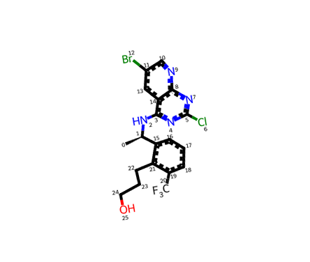 C[C@@H](Nc1nc(Cl)nc2ncc(Br)cc12)c1cccc(C(F)(F)F)c1CCCO